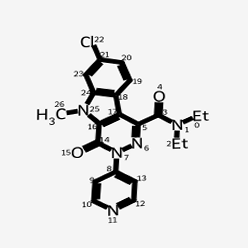 CCN(CC)C(=O)c1nn(-c2ccncc2)c(=O)c2c1c1ccc(Cl)cc1n2C